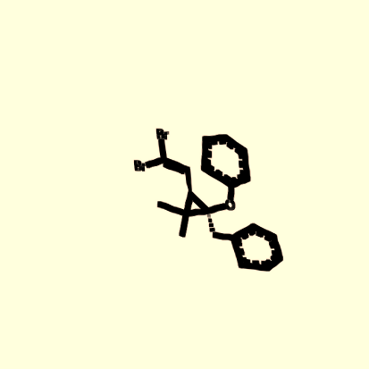 CC1(C)[C@@H](C=C(Br)Br)[C@@]1(Cc1ccccc1)Oc1ccccc1